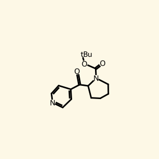 CC(C)(C)OC(=O)N1CCCCC1C(=O)c1ccncc1